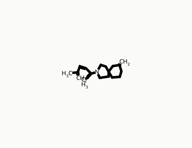 C=C(C)/C=C\C(=C/C)N1CCC2(CCCC(=C)C2)CC1